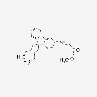 CCCCC1(CCCC)C2=CCC(/C=C/CC3OC3OC)C=C2c2ccccc21